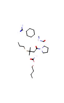 CCCCOC(=O)N[C@@H](C(=O)N1CCC[C@H]1C(=O)NC[C@H]1CC[C@H](C(=N)N)CC1)C(C)(C)SCCC